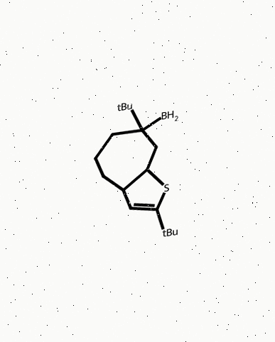 BC1(C(C)(C)C)CCCC2C=C(C(C)(C)C)SC2C1